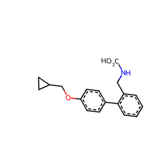 O=C(O)NCc1ccccc1-c1ccc(OCC2CC2)cc1